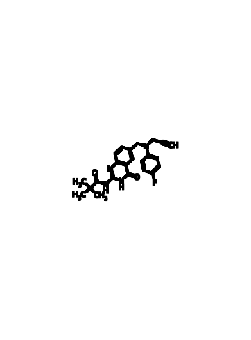 C#CCN(Cc1ccc2nc(NC(=O)C(C)(C)C)[nH]c(=O)c2c1)c1ccc(F)cc1